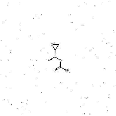 CC(C)(C)C(OC(N)=O)C1CO1